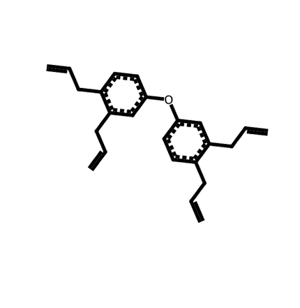 C=CCc1ccc(Oc2ccc(CC=C)c(CC=C)c2)cc1CC=C